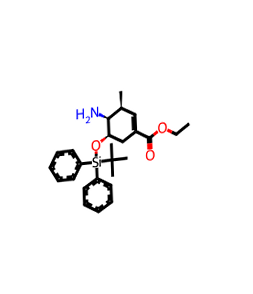 CCOC(=O)C1=C[C@H](C)[C@H](N)[C@H](O[Si](c2ccccc2)(c2ccccc2)C(C)(C)C)C1